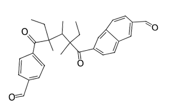 CCC(C)(C(=O)c1ccc(C=O)cc1)C(C)C(C)(CC)C(=O)c1ccc2cc(C=O)ccc2c1